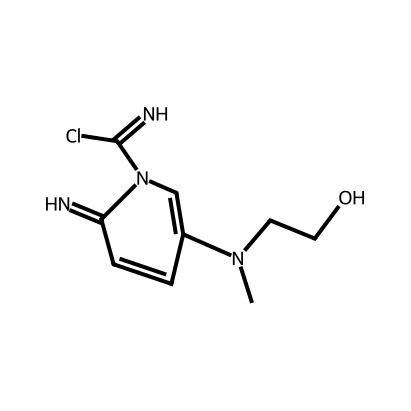 CN(CCO)c1ccc(=N)n(C(=N)Cl)c1